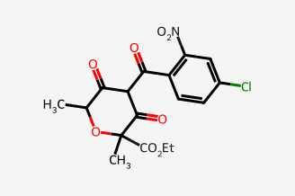 CCOC(=O)C1(C)OC(C)C(=O)C(C(=O)c2ccc(Cl)cc2[N+](=O)[O-])C1=O